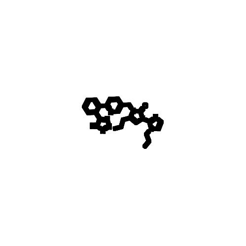 CCCc1cn(-c2nccn2CCC)c(=O)n1Cc1ccc(-c2ccccc2-c2nnn[nH]2)nc1